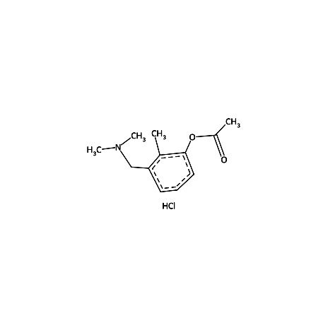 CC(=O)Oc1cccc(CN(C)C)c1C.Cl